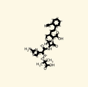 CC(C)(ON=C(C(=O)NC1C(=O)N2C(C(=O)O)=C(C=Cc3ccccc3C#N)CS[C@@H]12)c1csc(N)n1)C(=O)O